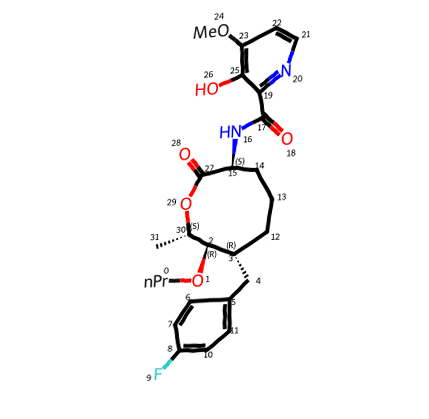 CCCO[C@@H]1[C@@H](Cc2ccc(F)cc2)CCC[C@H](NC(=O)c2nccc(OC)c2O)C(=O)O[C@H]1C